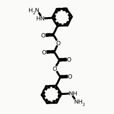 NNc1ccccc1C(=O)OC(=O)C(=O)OC(=O)c1ccccc1NN